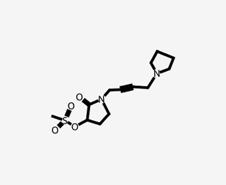 CS(=O)(=O)OC1CCN(CC#CCN2CCCC2)C1=O